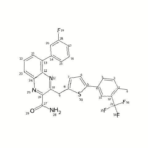 Cc1ccc(-c2ccc(Cc3nc4c(-c5cccc(F)c5)cccc4nc3C(N)=O)s2)cc1C(F)(F)F